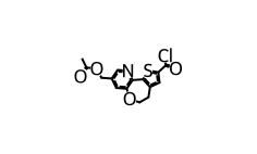 CC(=O)OCc1cnc2c(c1)OCCc1cc(C(=O)Cl)sc1-2